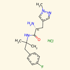 Cl.Cn1cc(C[C@@H](N)C(=O)NC(C)(C)Cc2ccc(F)cc2)cn1